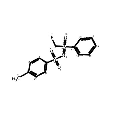 Cc1ccc(S(=O)(=O)N=S(=O)(CF)c2ccccc2)cc1